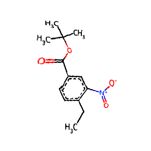 CCc1ccc(C(=O)OC(C)(C)C)cc1[N+](=O)[O-]